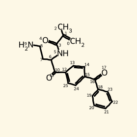 C=C(C)C(=O)NC(CCN)C(=O)c1ccc(C(=O)c2ccccc2)cc1